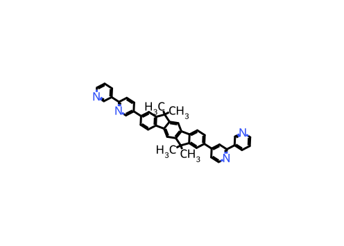 CC1(C)c2cc(-c3ccc(-c4cccnc4)nc3)ccc2-c2cc3c(cc21)-c1ccc(-c2ccnc(-c4cccnc4)c2)cc1C3(C)C